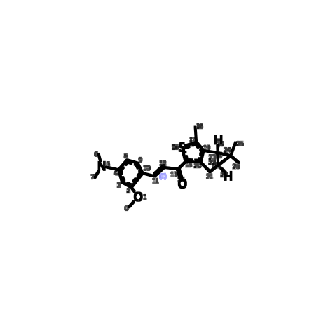 COc1cc(N(C)C)ccc1/C=C/C(=O)c1sc(C)c2c1C[C@@H]1[C@H]2C1(C)C